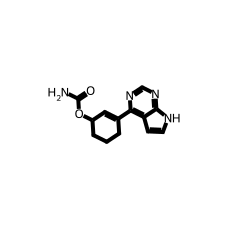 NC(=O)OC1C=C(c2ncnc3[nH]ccc23)CCC1